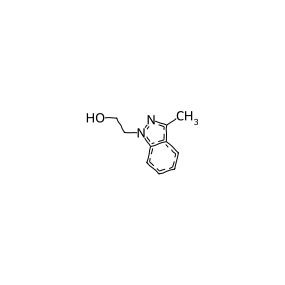 Cc1nn(CCO)c2ccccc12